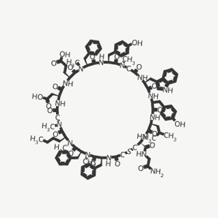 CCCC[C@H]1C(=O)N(C)CC(=O)N[C@@H](CC(=O)O)C(=O)N[C@@H](CCC(=O)O)C(=O)N(C)[C@@H](Cc2ccccc2)C(=O)N[C@@H](Cc2ccc(O)cc2)C(=O)N(C)CC(=O)N[C@@H](Cc2c[nH]c3ccccc23)C(=O)NC(Cc2ccc(O)cc2)C(=O)N[C@@H](CC(C)C)C(=O)N[C@H](C(=O)NCC(N)=O)CSCC(=O)N[C@@H](Cc2ccccc2)C(=O)N(C)[C@@H](Cc2ccccc2)C(=O)N1C